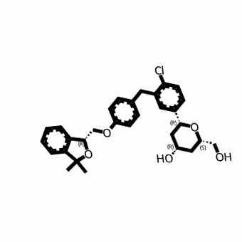 CC1(C)O[C@@H](COc2ccc(Cc3cc([C@H]4C[C@@H](O)C[C@@H](CO)O4)ccc3Cl)cc2)c2ccccc21